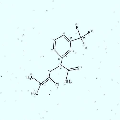 CC(C)=C(Cl)CN(C(N)=S)c1cccc(C(F)(F)F)c1